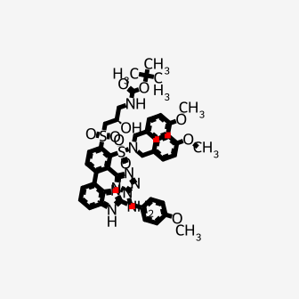 COc1ccc(CN(Cc2ccc(OC)cc2)S(=O)(=O)c2c(S(=O)(=O)C[C@@H](O)CNC(=O)OC(C)(C)C)ccc(-c3cccc4[nH]c(N)nc34)c2-c2nnn(Cc3ccc(OC)cc3)n2)cc1